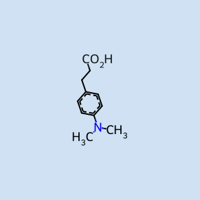 CN(C)c1ccc(CCC(=O)O)cc1